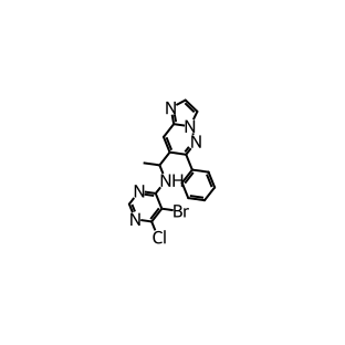 CC(Nc1ncnc(Cl)c1Br)c1cc2nccn2nc1-c1ccccc1